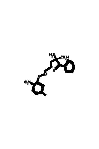 Cc1ccc([N+](=O)[O-])c(SOCCC[C@@](N)(C(=O)O)C(=O)c2ccccc2)c1